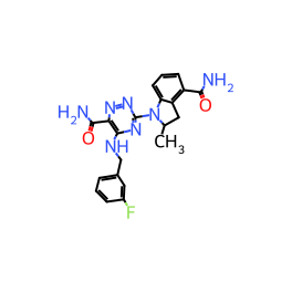 CC1Cc2c(C(N)=O)cccc2N1c1nnc(C(N)=O)c(NCc2cccc(F)c2)n1